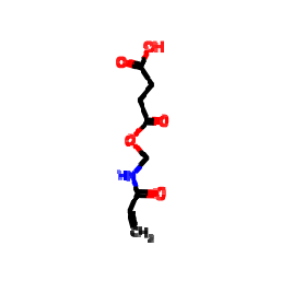 C=CC(=O)NCOC(=O)CCC(=O)O